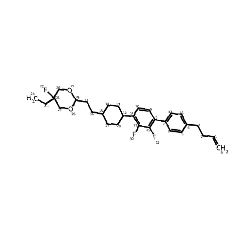 C=CCCc1ccc(-c2ccc(C3CCC(CCC4OCC(F)(CC)CO4)CC3)c(F)c2F)cc1